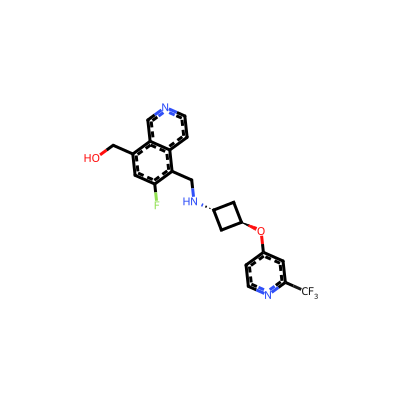 OCc1cc(F)c(CN[C@H]2C[C@H](Oc3ccnc(C(F)(F)F)c3)C2)c2ccncc12